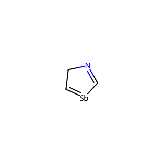 [CH]1=NC[CH]=[Sb]1